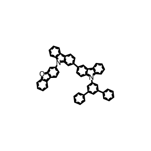 c1ccc(-c2cc(-c3ccccc3)cc(-n3c4ccccc4c4cc(-c5ccc6c7ccccc7n(-c7ccc8c(c7)oc7ccccc78)c6c5)ccc43)c2)cc1